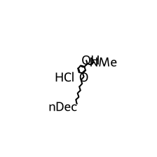 CCCCCCCCCCCCCCCCCCOc1cccc(C(O)CNC)c1.Cl